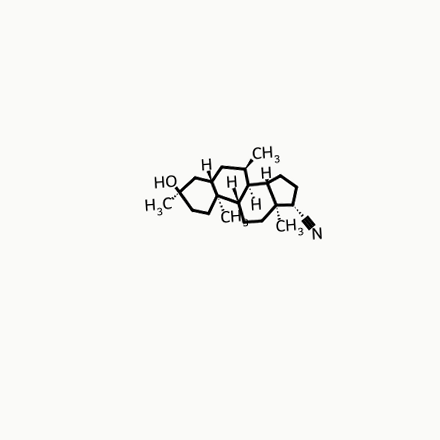 C[C@@H]1C[C@H]2C[C@](C)(O)CC[C@]2(C)[C@H]2CC[C@]3(C)[C@@H](C#N)CC[C@H]3[C@H]12